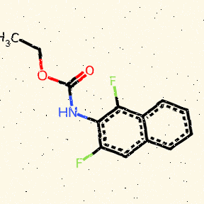 CCOC(=O)Nc1c(F)cc2ccccc2c1F